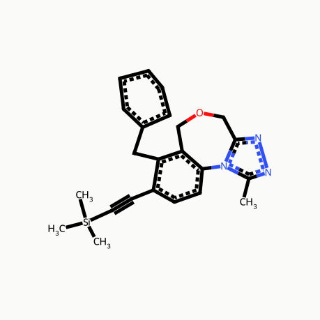 Cc1nnc2n1-c1ccc(C#C[Si](C)(C)C)c(Cc3ccccc3)c1COC2